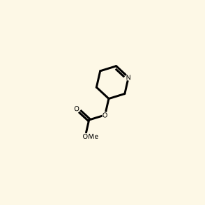 COC(=O)OC1CCC=NC1